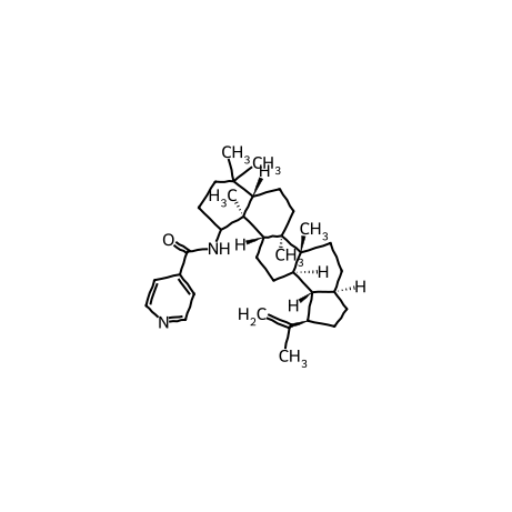 C=C(C)[C@@H]1CC[C@@H]2CC[C@]3(C)[C@H](CC[C@@H]4[C@@]5(C)C(NC(=O)c6ccncc6)CCC(C)(C)[C@@H]5CC[C@]43C)[C@H]21